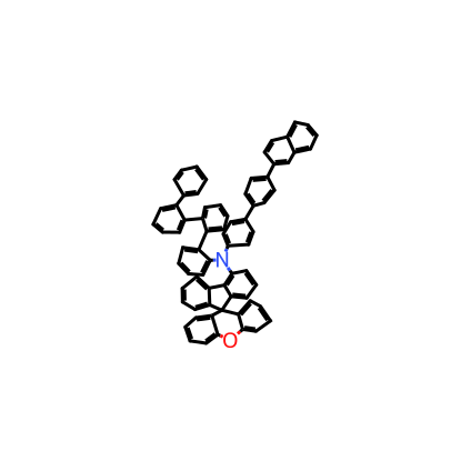 c1ccc(-c2ccccc2-c2ccccc2-c2ccccc2N(c2ccc(-c3ccc(-c4ccc5ccccc5c4)cc3)cc2)c2cccc3c2-c2ccccc2C32c3ccccc3Oc3ccccc32)cc1